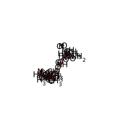 CC[C@H](C)[C@@H]([C@@H](CC(=O)N1CCC[C@H]1[C@H](OC)[C@@H](C)C(=O)N[C@@H](Cc1ccccc1)c1nccs1)OC)N(C)C(=O)[C@@H](NC(=O)C1(NC(=O)CCOCCOCCOCCNC(=O)OCc2ccc(NC(=O)[C@H](CCCNC(N)=O)NC(=O)[C@@H](NC(=O)CCCCCN3C(=O)C=CC3=O)C(C)C)cc2)CCCC1)C(C)C